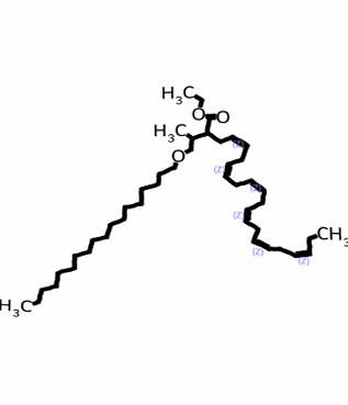 CC/C=C\C/C=C\C/C=C\C/C=C\C/C=C\C/C=C\CC(C(=O)OCC)C(C)COCCCCCCCCCCCCCCCCCC